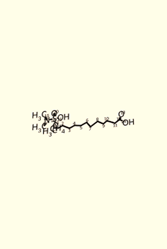 C.CCCCCCCCCCCC(=O)O.CN(C)S(=O)(=O)O